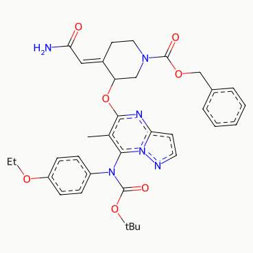 CCOc1ccc(N(C(=O)OC(C)(C)C)c2c(C)c(OC3CN(C(=O)OCc4ccccc4)CC/C3=C\C(N)=O)nc3ccnn23)cc1